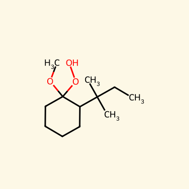 CCC(C)(C)C1CCCCC1(OC)OO